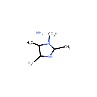 CC1NC(C)N(C(=O)O)C1C.N